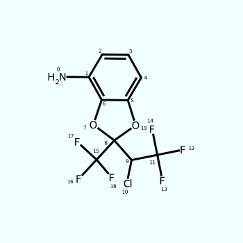 Nc1cccc2c1OC(C(Cl)C(F)(F)F)(C(F)(F)F)O2